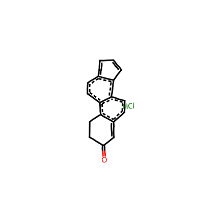 Cl.O=C1C=c2ccc3c4c(ccc3c2CC1)=CC=C4